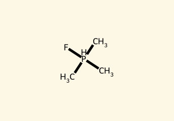 C[PH](C)(C)F